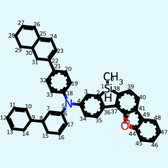 C[SiH]1c2cc(N(C3=CC(C4C=CC=CC4)CC=C3)c3ccc(C4=CC=C5C=CCCC5C4)cc3)ccc2-c2c1ccc1c2oc2ccccc21